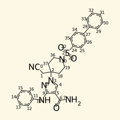 N#CCC1(n2cc(C(N)=O)c(Nc3ccccc3)n2)CCN(S(=O)(=O)c2ccc(-c3ccccc3)cc2)CC1